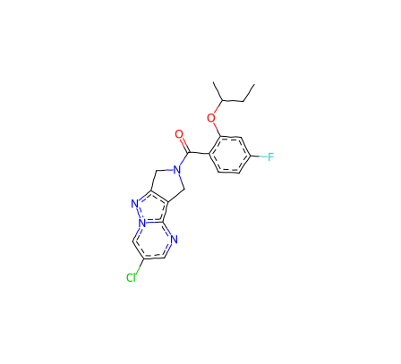 CCC(C)Oc1cc(F)ccc1C(=O)N1Cc2nn3cc(Cl)cnc3c2C1